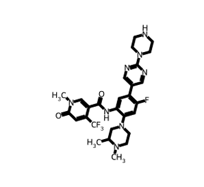 CC1CN(c2cc(F)c(-c3cnc(N4CCNCC4)nc3)cc2NC(=O)c2cn(C)c(=O)cc2C(F)(F)F)CCN1C